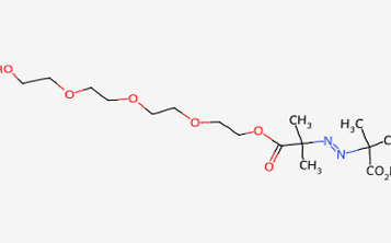 CC(C)(N=NC(C)(C)C(=O)OCCOCCOCCOCCO)C(=O)O